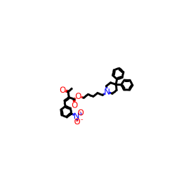 CC(=O)C(=Cc1cccc([N+](=O)[O-])c1)C(=O)OCCCCCN1CCC(c2ccccc2)(c2ccccc2)CC1